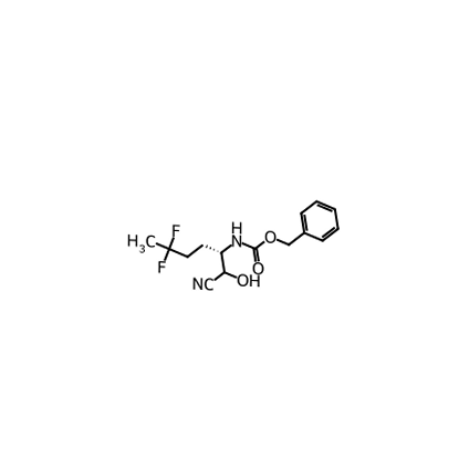 CC(F)(F)CC[C@H](NC(=O)OCc1ccccc1)C(O)C#N